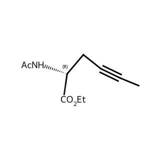 CC#CC[C@@H](NC(C)=O)C(=O)OCC